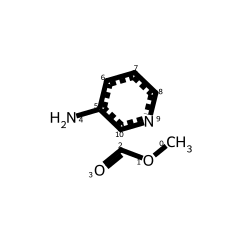 COC=O.Nc1cccnc1